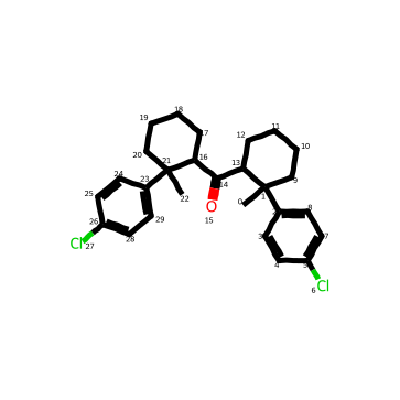 CC1(c2ccc(Cl)cc2)CCCCC1C(=O)C1CCCCC1(C)c1ccc(Cl)cc1